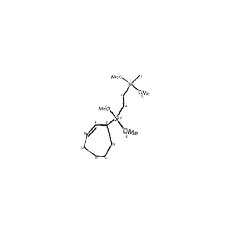 CO[Si](C)(CC[Si](OC)(OC)C1C=CCCCC1)OC